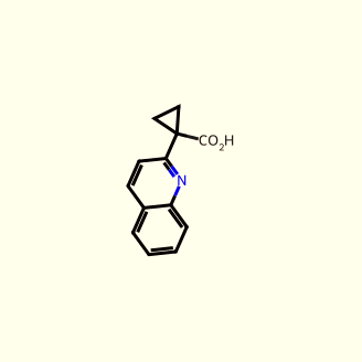 O=C(O)C1(c2ccc3ccccc3n2)CC1